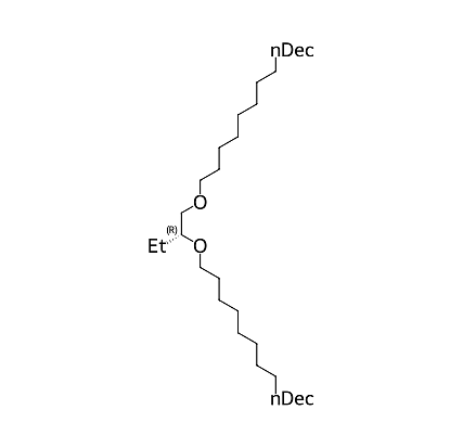 CCCCCCCCCCCCCCCCCCOC[C@@H](CC)OCCCCCCCCCCCCCCCCCC